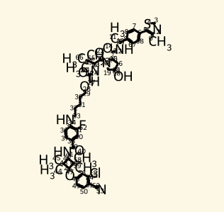 Cc1ncsc1-c1ccc([C@H](C)NC(=O)[C@@H]2C[C@@H](O)CN2C(=O)[C@@H](NC(=O)COCCCCCNc2ccc(C(=O)NC3C(C)(C)C(Oc4ccc(C#N)c(Cl)c4)C3(C)C)cc2F)C(C)(C)C)cc1